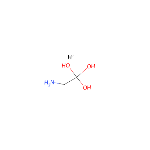 NCC(O)(O)O.[H+]